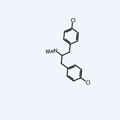 CNC(Cc1ccc(Cl)cc1)Cc1ccc(Cl)cc1